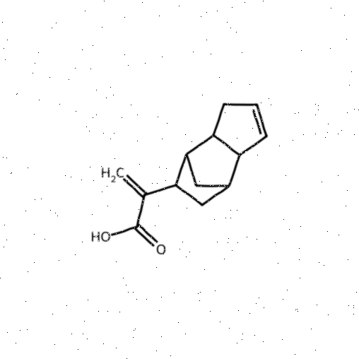 C=C(C(=O)O)C1CC2CC1C1CC=CC21